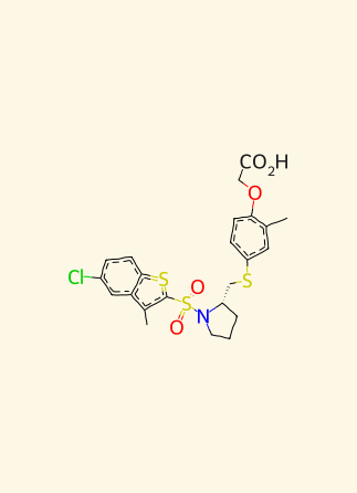 Cc1cc(SC[C@@H]2CCCN2S(=O)(=O)c2sc3ccc(Cl)cc3c2C)ccc1OCC(=O)O